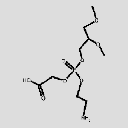 COCC(COP(=O)(OCCN)OCC(=O)O)OC